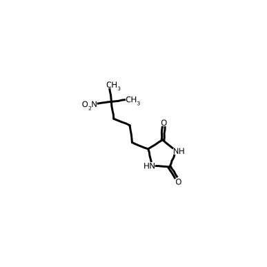 CC(C)(CCCC1NC(=O)NC1=O)[N+](=O)[O-]